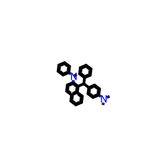 CN(C)c1ccc(C(c2ccccc2)c2c(N(C)c3ccccc3)ccc3ccccc23)cc1